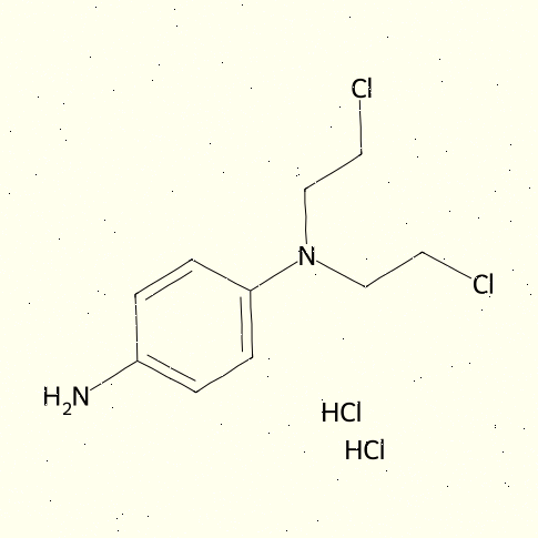 Cl.Cl.Nc1ccc(N(CCCl)CCCl)cc1